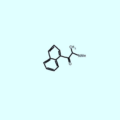 CNC(C)C(=O)c1cccc2ccccc12